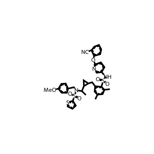 COc1ccc(CN(C(C)C2CC2Cc2cc(C)cc(C)c2S(=O)(=O)Nc2ccc(Oc3ccccc3C#N)nc2)S(=O)(=O)c2cccs2)cc1